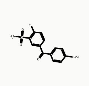 COc1ccc(C(=O)c2ccc(Cl)c(S(N)(=O)=O)c2)cc1